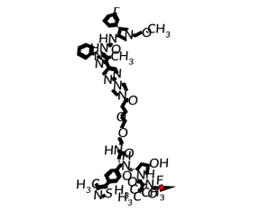 COCCN1C[C@@H](NC(=O)Nc2c(C)c(-c3cnc(N4CCN(C(=O)CCOCCOCCNC(=O)C[C@H](NC(=O)[C@@H]5C[C@@H](O)CN5C(=O)[C@@H](NC(=O)C5(F)CC5)C(C)(C)C)c5ccc(-c6scnc6C)cc5)CC4)nc3)nn2-c2ccccc2)[C@H](c2cccc(F)c2)C1